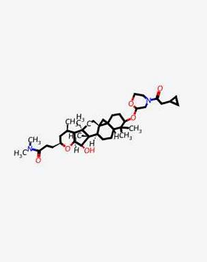 C[C@@H]1C[C@H](CCC(=O)N(C)C)O[C@H]2C1[C@@]1(C)CC[C@@]34CC35CCC(OC3CN(C(=O)CC6CC6)CCO3)C(C)(C)[C@@H]5CC[C@H]4[C@]1(C)[C@H]2O